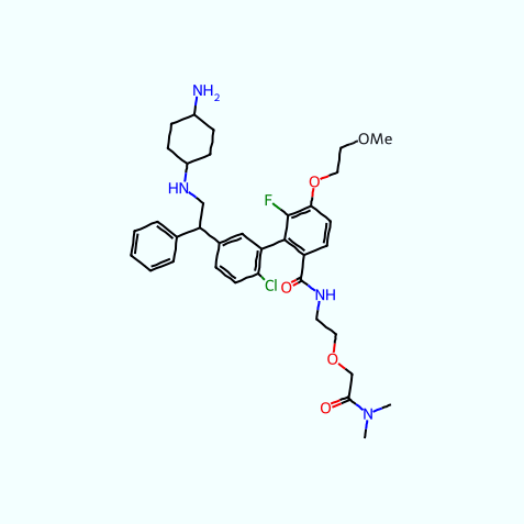 COCCOc1ccc(C(=O)NCCOCC(=O)N(C)C)c(-c2cc(C(CNC3CCC(N)CC3)c3ccccc3)ccc2Cl)c1F